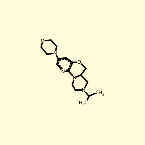 CC(C)N1CCN2c3ncc(N4CCOCC4)cc3OCC2C1